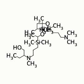 CCC(CO)N(C)CCC[Si](C)(C)C(C)O[Si]1(C)C(C)CC1(C)O[Si](C)(C)CCCN(C)C